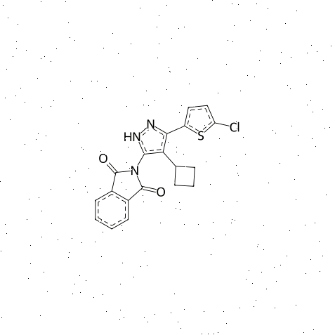 O=C1c2ccccc2C(=O)N1c1[nH]nc(-c2ccc(Cl)s2)c1C1CCC1